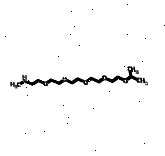 CNCCOCCOCCOCCOCCOC(C)C